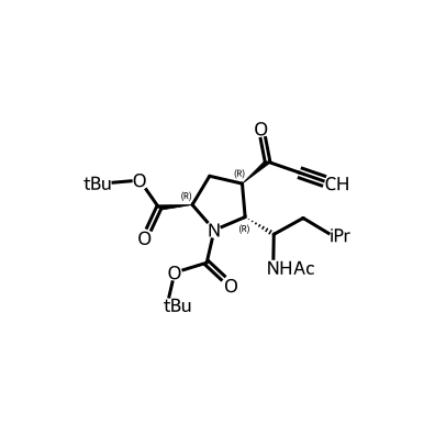 C#CC(=O)[C@@H]1C[C@H](C(=O)OC(C)(C)C)N(C(=O)OC(C)(C)C)[C@H]1C(CC(C)C)NC(C)=O